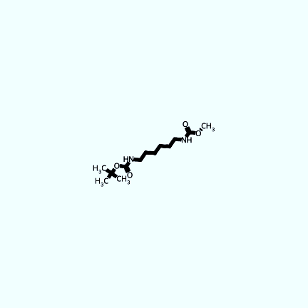 COC(=O)NCCCCCCNC(=O)OC(C)(C)C